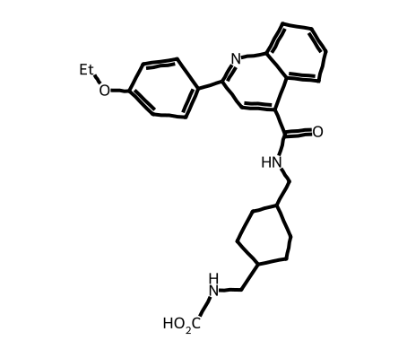 CCOc1ccc(-c2cc(C(=O)NCC3CCC(CNC(=O)O)CC3)c3ccccc3n2)cc1